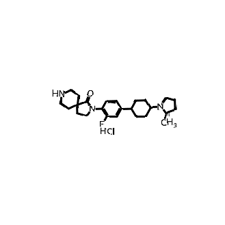 C[C@@H]1CCCN1C1CCC(c2ccc(N3CCC4(CCNCC4)C3=O)c(F)c2)CC1.Cl